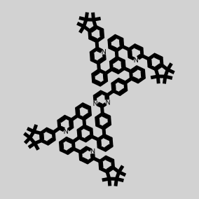 CC1(C)c2ccc(-c3ccc(-c4ccccc4-c4cc(-c5ccccc5-c5ccc(-c6ccnc(-c7ccc(-c8ccccc8-c8cc(-c9ccccc9-c9ccc(-c%10ccc%11c(c%10)C(C)(C)C(C)(C)C%11(C)C)nc9)cc(-c9ccccc9-c9ccc(-c%10ccc%11c(c%10)C(C)(C)C(C)(C)C%11(C)C)nc9)c8)cc7)n6)cc5)cc(-c5ccccc5-c5ccc(-c6ccc7c(c6)C(C)(C)C(C)(C)C7(C)C)nc5)c4)cn3)cc2C(C)(C)C1(C)C